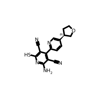 N#Cc1c(N)nc(S)c(C#N)c1-c1ccc([C@H]2CCOC2)cn1